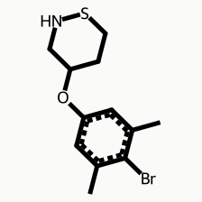 Cc1cc(OC2CCSNC2)cc(C)c1Br